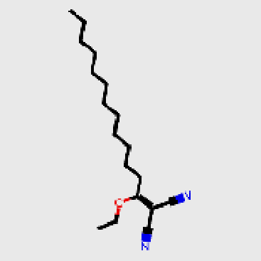 CCCCCCCCCCCCC(OCC)=C(C#N)C#N